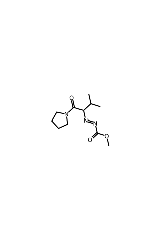 COC(=O)N=NC(C(=O)N1CCCC1)C(C)C